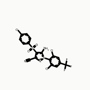 N#Cc1nn(-c2c(Cl)cc(C(F)(F)F)cc2Cl)c(N)c1S(=O)(=O)c1ccc(Cl)cc1